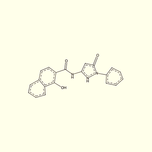 O=C(Nc1cc(=O)n(-c2ccccc2)[nH]1)c1ccc2ccccc2c1O